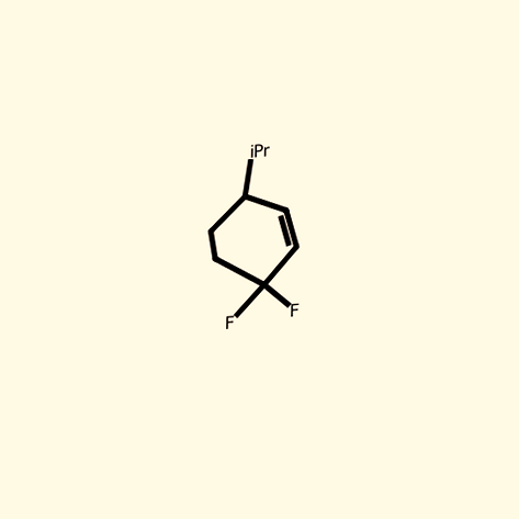 CC(C)C1C=CC(F)(F)CC1